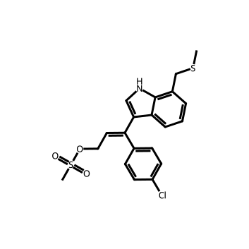 CSCc1cccc2c(/C(=C/COS(C)(=O)=O)c3ccc(Cl)cc3)c[nH]c12